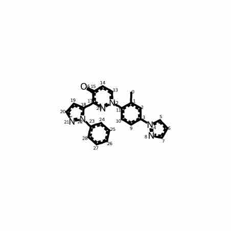 Cc1cc(-n2cccn2)ccc1-n1ccc(=O)c(-c2ccnn2-c2ccccc2)n1